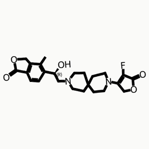 Cc1c([C@@H](O)CN2CCC3(CC2)CCN(C2=C(F)C(=O)OC2)CC3)ccc2c1COC2=O